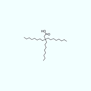 CCCCCCCCC(CCCCCCCC)(CCCCCCCC)CC(=O)O